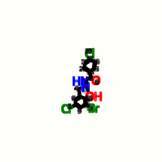 O=C(N/N=C/c1cc(Cl)cc(Br)c1O)c1ccc(Cl)cc1